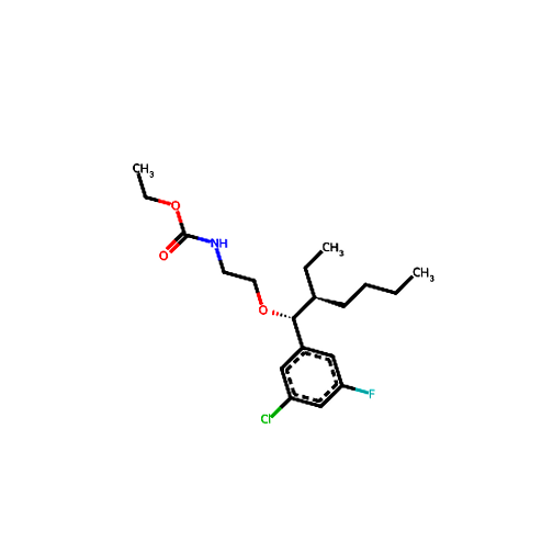 CCCC[C@H](CC)[C@@H](OCCNC(=O)OCC)c1cc(F)cc(Cl)c1